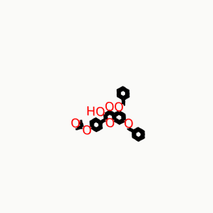 O=c1c(O)c(-c2ccc(OC3COC3)cc2)oc2cc(OCc3ccccc3)cc(OCc3ccccc3)c12